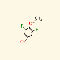 CCOc1c(F)cc(C=O)cc1F